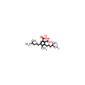 Cc1c(CCCC(C)C)cc(C(=O)O)c(C(=O)O)c1CCCC(C)C